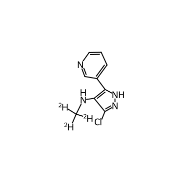 [2H]C([2H])([2H])Nc1c(Cl)n[nH]c1-c1cccnc1